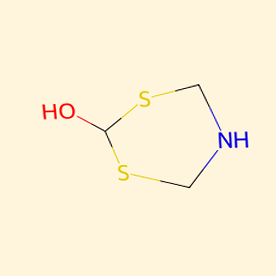 OC1SCNCS1